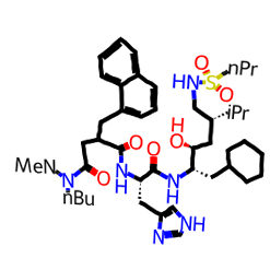 CCCCN(NC)C(=O)CC(Cc1cccc2ccccc12)C(=O)N[C@@H](Cc1c[nH]cn1)C(=O)N[C@@H](CC1CCCCC1)[C@@H](O)C[C@H](CNS(=O)(=O)CCC)C(C)C